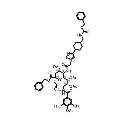 C=CC[C@]1(C(=O)OCc2ccccc2)C[C@H](OC(C)=O)[C@@H](NC(=O)Cn2cc(C3CCC(CNC(=O)OCc4ccccc4)CC3)nn2)[C@H]([C@H](OC(C)=O)[C@@H](CNC(=O)c2cc(C)c(OC(C)=O)c(C)c2)OC(C)=O)O1